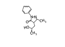 CC1=NN(c2ccccc2)C(=O)C1C[C@@H](C)O